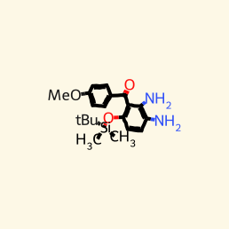 COc1ccc(C(=O)c2c(O[Si](C)(C)C(C)(C)C)ccc(N)c2N)cc1